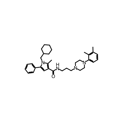 Cc1cccc(N2CCN(CCCNC(=O)c3cc(-c4ccccc4)n(CC4CCCCC4)c3C)CC2)c1C